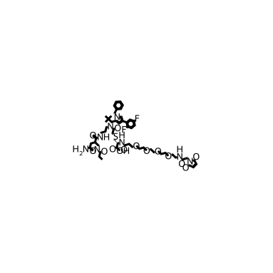 CCC(=O)/N=C/C(CC(N)=O)C(=O)NCCCN(C(=O)CSC[C@H](NC(=O)CCOCCOCCOCCOCCNC(=O)CN1C(=O)C=CC1=O)C(=O)O)[C@@H](c1cc(-c2cc(F)ccc2F)cn1Cc1ccccc1)C(C)(C)C